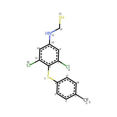 FC(F)(F)c1ccc(Sc2c(Cl)cc(NCS)cc2Cl)cc1